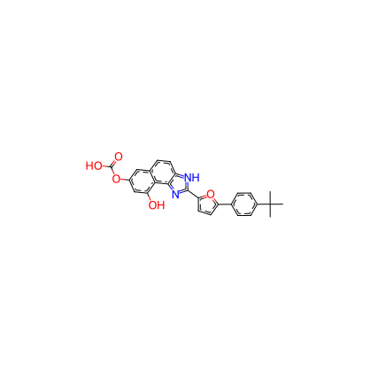 CC(C)(C)c1ccc(-c2ccc(-c3nc4c(ccc5cc(OC(=O)O)cc(O)c54)[nH]3)o2)cc1